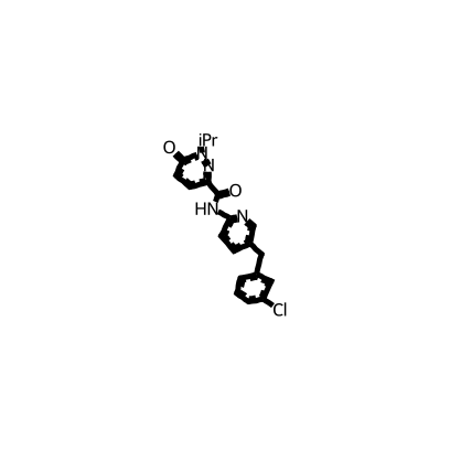 CC(C)n1nc(C(=O)Nc2ccc(Cc3cccc(Cl)c3)cn2)ccc1=O